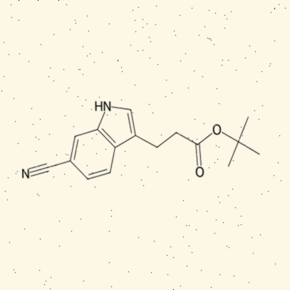 CC(C)(C)OC(=O)CCc1c[nH]c2cc(C#N)ccc12